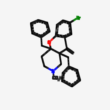 C=C1c2cc(Br)ccc2OC2(Cc3ccccc3)CCN(C(=O)O)CC12Cc1ccccc1